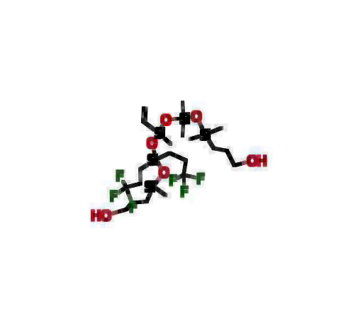 C=C[Si](C)(O[Si](C)(C)O[Si](C)(C)CCCO)O[Si](CCC(F)(F)F)(CCC(F)(F)F)O[Si](C)(C)CCCO